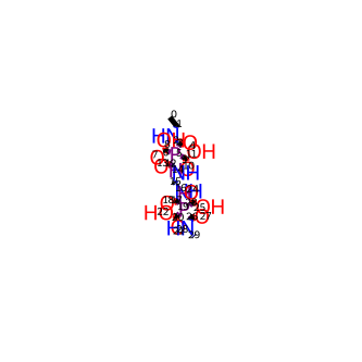 CCNC(=O)[PH](C(=O)O)(C(=O)O)C(=O)NCNC(=O)[PH](C(=O)O)(C(=O)O)C(=O)NC